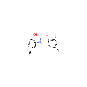 CCc1ccc(O)c(NCc2cc(I)cc(I)c2O)c1